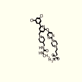 CNC(=O)NCC1CCN(Cc2cc(Oc3cnc(N4CCN(CCCS(N)(=O)=O)CC4)nc3)nc(-c3cc(Cl)cc(Cl)c3)c2)CC1